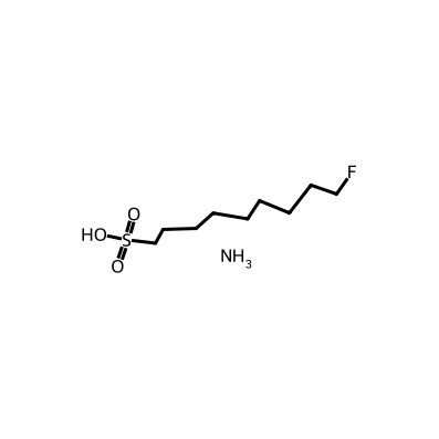 N.O=S(=O)(O)CCCCCCCCCF